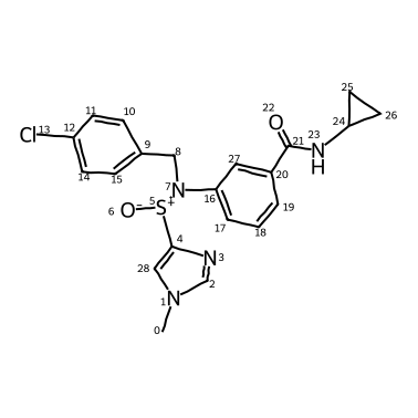 Cn1cnc([S+]([O-])N(Cc2ccc(Cl)cc2)c2cccc(C(=O)NC3CC3)c2)c1